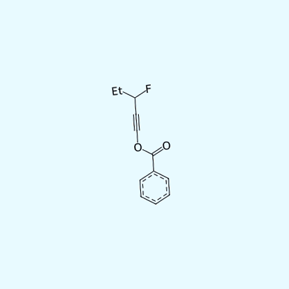 CCC(F)C#COC(=O)c1ccccc1